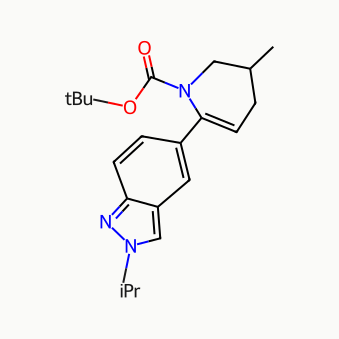 CC1CC=C(c2ccc3nn(C(C)C)cc3c2)N(C(=O)OC(C)(C)C)C1